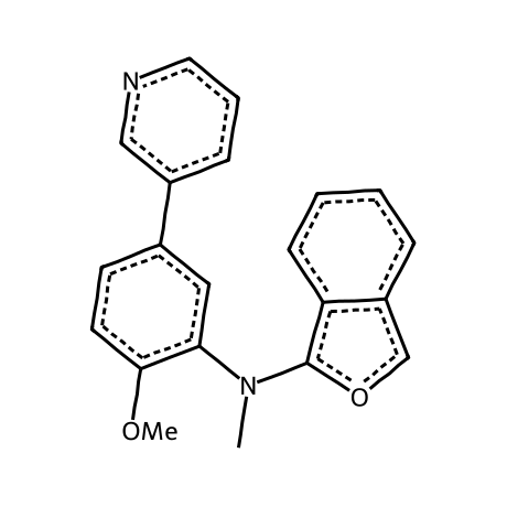 COc1ccc(-c2cccnc2)cc1N(C)c1occ2ccccc12